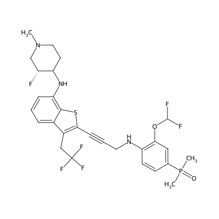 CN1CCC(Nc2cccc3c(CC(F)(F)F)c(C#CCNc4ccc(P(C)(C)=O)cc4OC(F)F)sc23)[C@H](F)C1